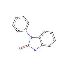 O=C1[N]c2ccccc2N1c1ccccc1